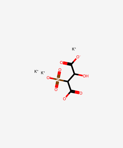 O=C([O-])C(O)C(C(=O)[O-])S(=O)(=O)[O-].[K+].[K+].[K+]